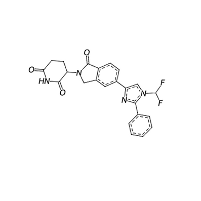 O=C1CCC(N2Cc3cc(-c4cn(C(F)F)c(-c5ccccc5)n4)ccc3C2=O)C(=O)N1